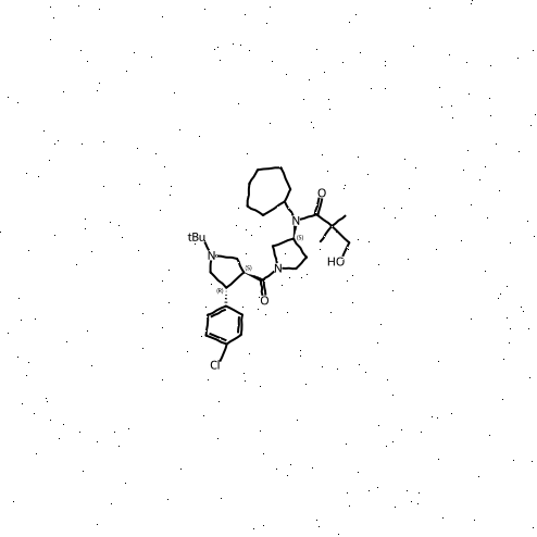 CC(C)(CO)C(=O)N(C1CCCCCC1)[C@H]1CCN(C(=O)[C@@H]2CN(C(C)(C)C)C[C@H]2c2ccc(Cl)cc2)C1